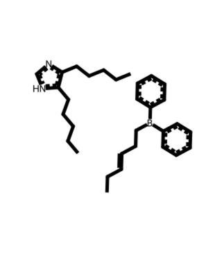 CCC=CCCB(c1ccccc1)c1ccccc1.CCCCCc1nc[nH]c1CCCCC